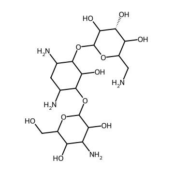 NCC1OC(OC2C(N)CC(N)C(OC3OC(CO)C(O)C(N)C3O)C2O)C(O)[C@H](O)C1O